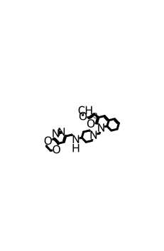 COc1cc2c(o1)N(CN1CCC(NCc3cc4c(nn3)OCCO4)CC1)C1CCC=CC1=C2